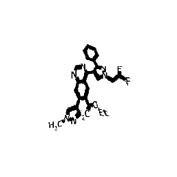 C=C(OCC)c1cc2c(-c3cn(CC(F)F)nc3-c3ccccc3)ncnc2cc1-c1cnn(C)c1